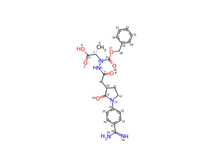 C[C@@H](C(=O)O)N(NC(=O)CC1CCN(c2ccc(C(=N)N)cc2)C1=O)C(=O)OCc1ccccc1